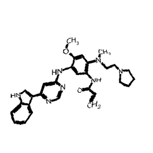 C=CC(=O)Nc1cc(Nc2cc(-c3c[nH]c4ccccc34)ncn2)c(OC)cc1N(C)CCN1CCCC1